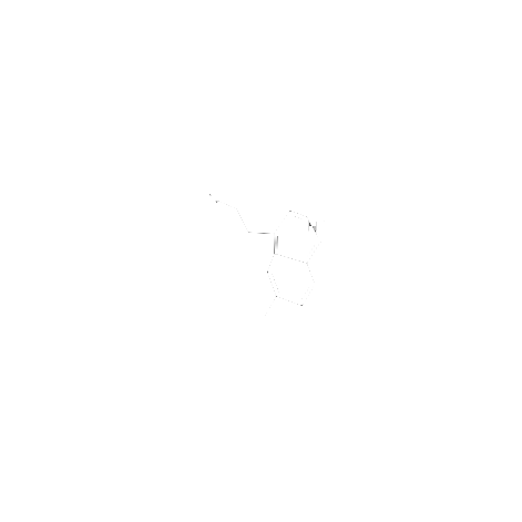 Cl.NCCc1cccc2ccc(F)cc12